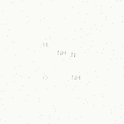 [2H]NC(N)=O.[N]